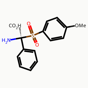 COc1ccc(S(=O)(=O)[C@@](N)(C(=O)O)c2ccccc2)cc1